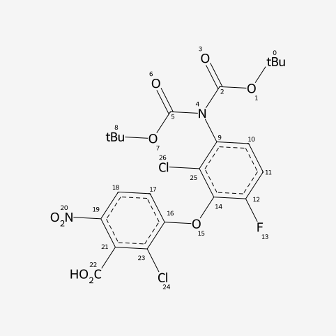 CC(C)(C)OC(=O)N(C(=O)OC(C)(C)C)c1ccc(F)c(Oc2ccc([N+](=O)[O-])c(C(=O)O)c2Cl)c1Cl